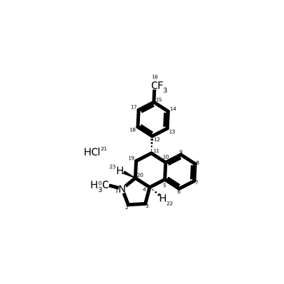 CN1CC[C@@H]2c3ccccc3[C@@H](c3ccc(C(F)(F)F)cc3)C[C@H]21.Cl